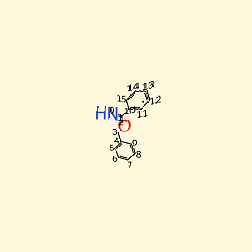 N=C(OCc1ccccc1)c1c[c]ccc1